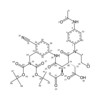 CC(=O)Nc1ccc(N(CCCl)C(=O)[C@H](CC(=O)O)[C@@H](OC(C)=O)C(=O)Nc2ccc(C#N)c(CN(C(=O)OC(C)(C)C)C(=O)OC(C)(C)C)c2)cc1